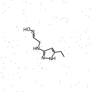 CCc1cc(NCC=NO)n[nH]1